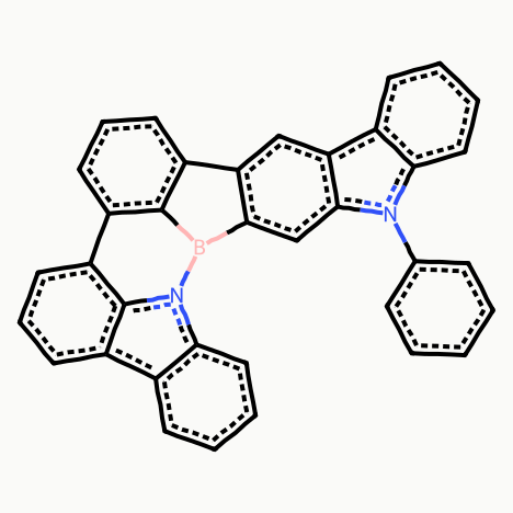 c1ccc(-n2c3ccccc3c3cc4c(cc32)B2c3c-4cccc3-c3cccc4c5ccccc5n2c34)cc1